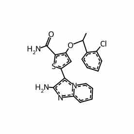 CC(Oc1cc(-c2c(N)nc3ccccn23)sc1C(N)=O)c1ccccc1Cl